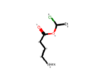 CCCCCCCCCC(=O)OC(Cl)CC